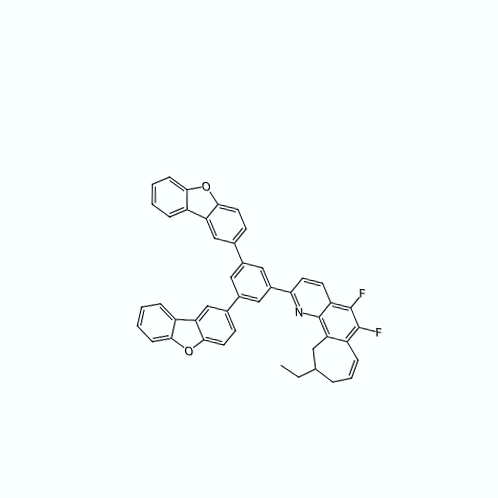 CCC1CC=Cc2c(F)c(F)c3ccc(-c4cc(-c5ccc6oc7ccccc7c6c5)cc(-c5ccc6oc7ccccc7c6c5)c4)nc3c2C1